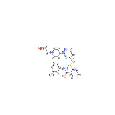 O=C(Nc1cccc(Cl)c1)c1cccnc1SCc1ccnc(N2CCN(CCO)CC2)n1